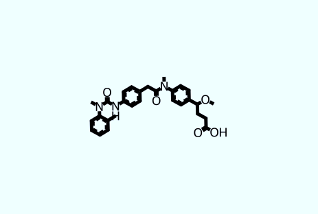 COC(CCC(=O)O)c1ccc(N(C)C(=O)Cc2ccc(NC(=O)N(C)c3ccccc3C)cc2)cc1